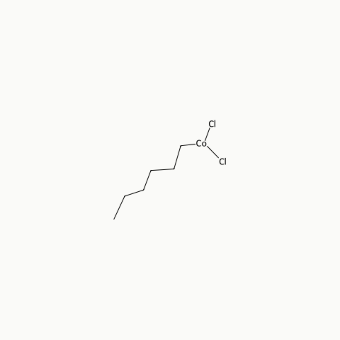 CCCCC[CH2][Co]([Cl])[Cl]